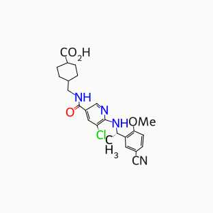 COc1ccc(C#N)cc1[C@H](C)Nc1ncc(C(=O)NCC2CCC(C(=O)O)CC2)cc1Cl